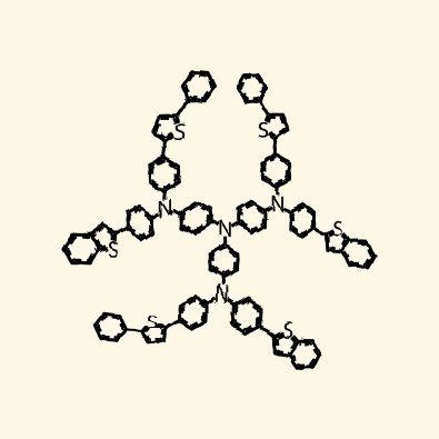 c1ccc(-c2ccc(-c3ccc(N(c4ccc(-c5cc6ccccc6s5)cc4)c4ccc(N(c5ccc(N(c6ccc(-c7ccc(-c8ccccc8)s7)cc6)c6ccc(-c7cc8ccccc8s7)cc6)cc5)c5ccc(N(c6ccc(-c7ccc(-c8ccccc8)s7)cc6)c6ccc(-c7cc8ccccc8s7)cc6)cc5)cc4)cc3)s2)cc1